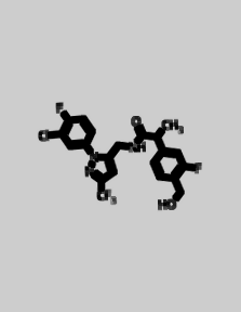 CC(C(=O)NCc1cc(C(F)(F)F)nn1-c1ccc(F)c(Cl)c1)c1ccc(CO)c(F)c1